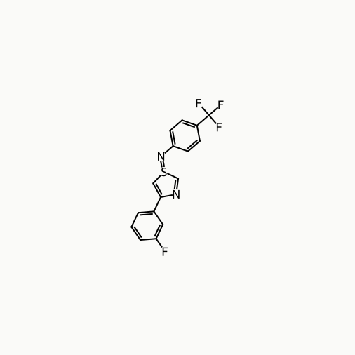 Fc1cccc(C2=CS(=Nc3ccc(C(F)(F)F)cc3)C=N2)c1